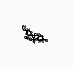 O=CC(F)(Oc1ccc(Cl)cc1)c1ccc(Cl)cc1Cl